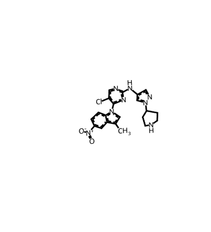 Cc1cn(-c2nc(Nc3cnn(C4CCNCC4)c3)ncc2Cl)c2ccc([N+](=O)[O-])cc12